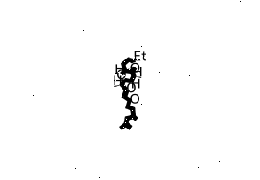 C=C(C)CC(C)CCC(=O)C=C1O[C@H]2[C@@H](C)[C@H]3O[C@@H](CC)CC[C@@H]3O[C@H]2[C@H]1C